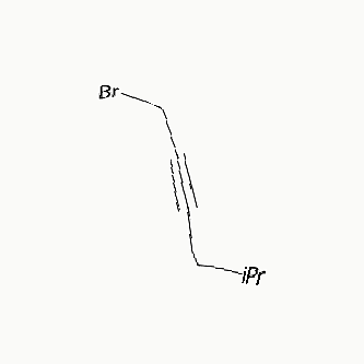 CC(C)CC#CCBr